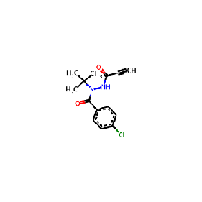 C#CC(=O)NN(C(=O)c1ccc(Cl)cc1)C(C)(C)C